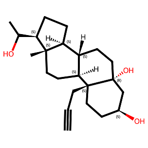 C#CC[C@]12CC[C@H](O)C[C@]1(O)CC[C@H]1[C@@H]3CC[C@H](C(C)O)[C@@]3(C)CC[C@@H]12